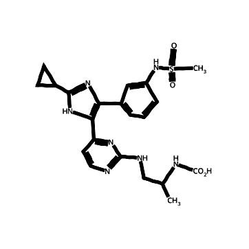 CC(CNc1nccc(-c2[nH]c(C3CC3)nc2-c2cccc(NS(C)(=O)=O)c2)n1)NC(=O)O